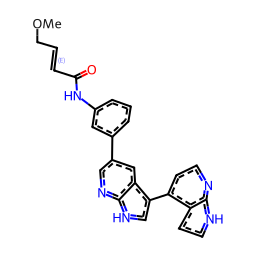 COC/C=C/C(=O)Nc1cccc(-c2cnc3[nH]cc(-c4ccnc5[nH]ccc45)c3c2)c1